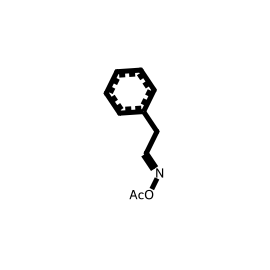 CC(=O)ON=CCc1ccccc1